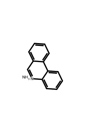 N.c1ccc2c(c1)cnc1ccccc12